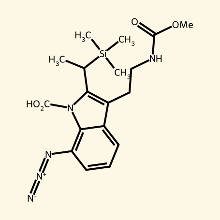 COC(=O)NCCc1c(C(C)[Si](C)(C)C)n(C(=O)O)c2c(N=[N+]=[N-])cccc12